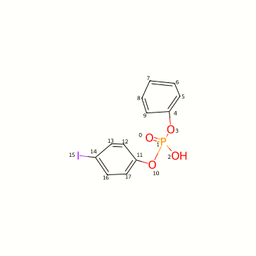 O=P(O)(Oc1ccccc1)Oc1ccc(I)cc1